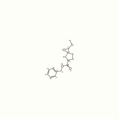 CSC1OC12CCN(C(=O)OCc1ccccc1)C2